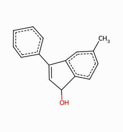 Cc1ccc2c(c1)C(c1ccccc1)=CC2O